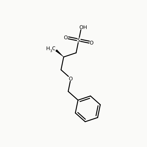 C[C@H](COCc1ccccc1)CS(=O)(=O)O